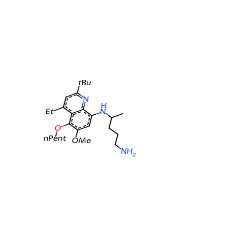 CCCCCOc1c(OC)cc(NC(C)CCCN)c2nc(C(C)(C)C)cc(CC)c12